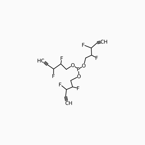 C#CC(F)C(F)COP(OCC(F)C(F)C#C)OCC(F)C(F)C#C